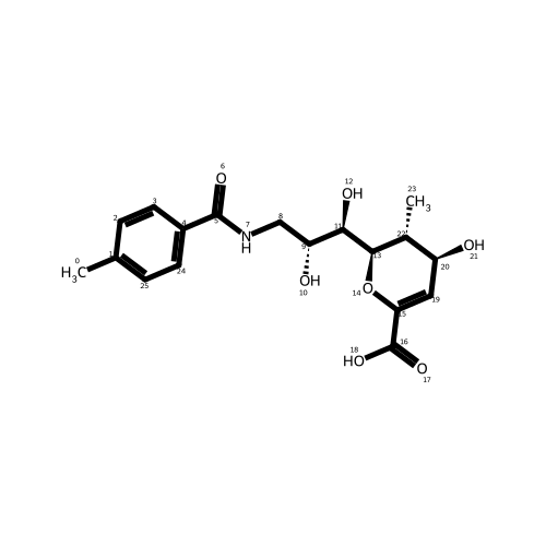 Cc1ccc(C(=O)NC[C@@H](O)[C@@H](O)[C@@H]2OC(C(=O)O)=C[C@H](O)[C@H]2C)cc1